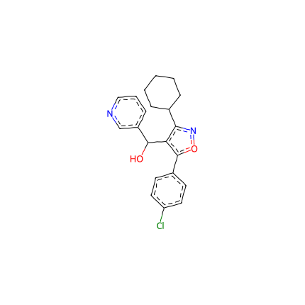 OC(c1cccnc1)c1c(C2CCCCC2)noc1-c1ccc(Cl)cc1